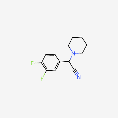 N#CC(c1ccc(F)c(F)c1)N1CCCCC1